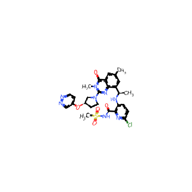 Cc1cc([C@@H](C)Nc2ccc(Cl)nc2C(=O)NS(C)(=O)=O)c2nc(N3CC[C@@H](Oc4ccnnc4)C3)n(C)c(=O)c2c1